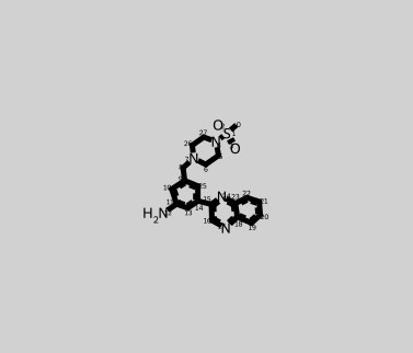 CS(=O)(=O)N1CCN(Cc2cc(N)cc(-c3cnc4ccccc4n3)c2)CC1